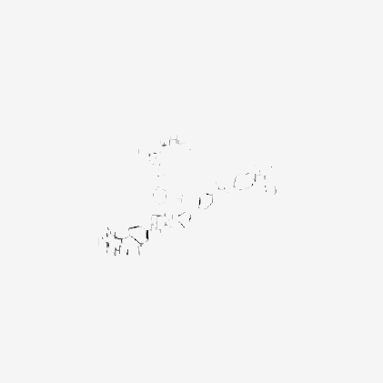 Cc1cc(C(=O)NC2CCN(C(C)C)CC2)ccc1-c1ccc(C[C@H](NC(=O)[C@H]2CC[C@H](CNC(=O)OC(C)(C)C)CC2)C(=O)Nc2ccc(-c3nn[nH]n3)c(F)c2)cc1